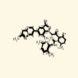 CCC1CCC(C)[C@@H](C(=O)Nc2nc(C(F)(F)F)ccc2C)C1C(=O)Cn1nc(C(C)=O)c2cc(-c3cnc4cc(C)nn4c3)cc(C)c21